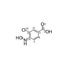 O=C(O)c1ccc(NO)c(Cl)c1